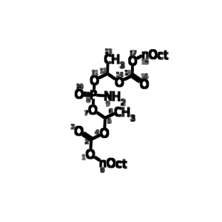 CCCCCCCCOC(=O)OC(C)OP(N)(=O)OC(C)OC(=O)OCCCCCCCC